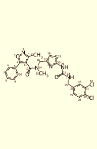 Cc1noc(-c2ccccc2)c1C(=O)N(C)Cc1csc(NC(=O)NCc2ccc(Cl)c(Cl)c2)n1